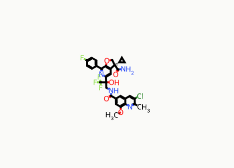 COc1cc(C(=O)NCC(O)(c2cc3c(c(-c4ccc(F)cc4)n2)OC[C@]3(C(N)=O)C2CC2)C(F)(F)F)cc2cc(Cl)c(C)nc12